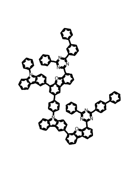 c1ccc(-c2ccc(-c3nc(-c4ccccc4)nc(-c4cccc5c4oc4c(-c6ccc7c(c6)c6ccccc6n7-c6ccc(-c7cc(-c8ccc9c(c8)c8ccccc8n9-c8ccccc8)c8oc9c(-c%10nc(-c%11ccccc%11)nc(-c%11cccc(-c%12ccccc%12)c%11)n%10)cccc9c8c7)cc6)cccc45)n3)cc2)cc1